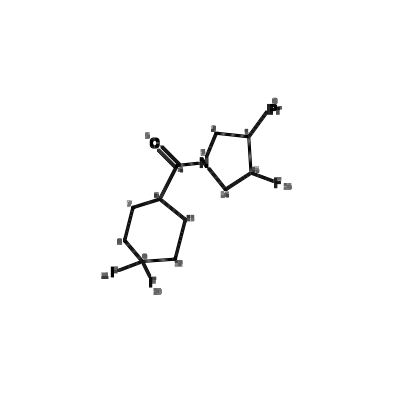 CC(C)C1CN(C(=O)C2CCC(F)(F)CC2)CC1F